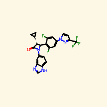 O=C1[C@H](C2CC2)C(c2c(F)cc(-n3ccc(C(F)(F)F)n3)cc2F)N1c1ccc2[nH]cnc2c1